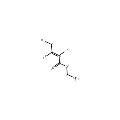 CCOC(=O)C(F)=C(F)CF